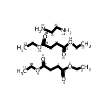 CCOC(=O)CCC(=O)OCC.CCOC(=O)CCC(=O)OCC.NCCN